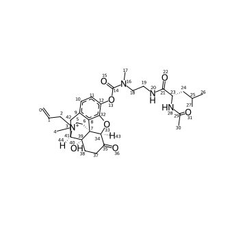 C=CC[N+]1(C)CC[C@]23c4c5ccc(OC(=O)N(C)CCNC(=O)[C@H](CC(C)C)NC(C)=O)c4O[C@H]2C(=O)CC[C@@]3(O)[C@H]1C5